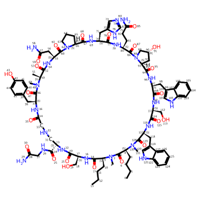 CCCC[C@H]1C(=O)N(C)[C@@H](CCCC)C(=O)N[C@@H](CO)C(=O)N[C@H](C(=O)NCC(N)=O)CNCC(=O)N[C@@H](Cc2ccc(O)cc2)C(=O)N(C)[C@@H](C)C(=O)N[C@@H](CC(N)=O)C(=O)N2CCC[C@H]2C(=O)N[C@@H](Cc2cnc[nH]2)C(=O)N[C@@H](CCC(N)=O)C(=O)N2C[C@H](O)C[C@H]2C(=O)N[C@@H](Cc2c[nH]c3ccccc23)C(=O)N[C@@H](CO)C(=O)N[C@@H](Cc2c[nH]c3ccccc23)C(=O)N1C